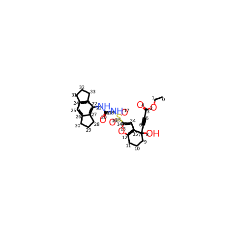 CCOC(=O)C#CC1(O)CCCc2oc(S(=O)(=O)NC(=O)Nc3c4c(cc5c3CCC5)CCC4)cc21